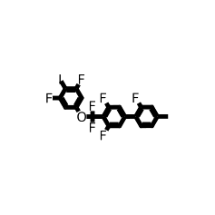 Cc1ccc(-c2cc(F)c(C(F)(F)Oc3cc(F)c(I)c(F)c3)c(F)c2)c(F)c1